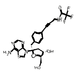 Nc1ncnc2c1ncn2[C@@]1(Cc2ccc(C#CCNC(=O)C(F)(F)F)cc2)C[C@H](O)[C@@H](CO)O1